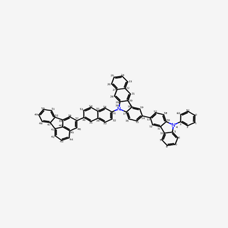 c1ccc(-n2c3ccccc3c3cc(-c4ccc5c(c4)c4cc6ccccc6cc4n5-c4ccc5cc(-c6cc7c8c(cccc8c6)-c6ccccc6-7)ccc5c4)ccc32)cc1